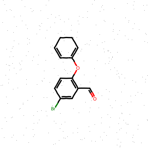 O=Cc1cc(Br)ccc1OC1=C[CH]CC=C1